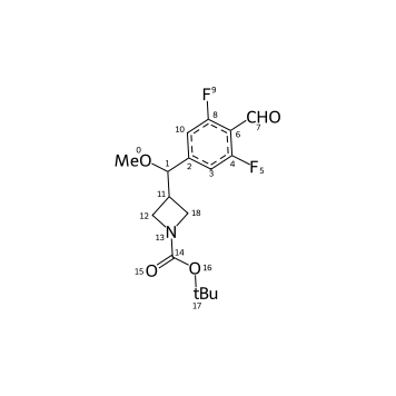 COC(c1cc(F)c(C=O)c(F)c1)C1CN(C(=O)OC(C)(C)C)C1